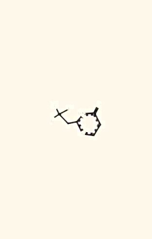 O=c1ccnc(CC(F)(F)F)[nH]1